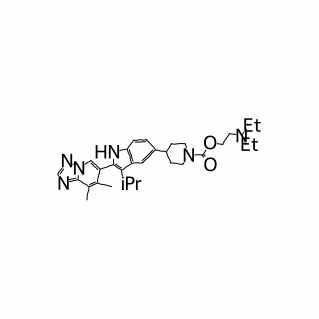 CCN(CC)CCOC(=O)N1CCC(c2ccc3[nH]c(-c4cn5ncnc5c(C)c4C)c(C(C)C)c3c2)CC1